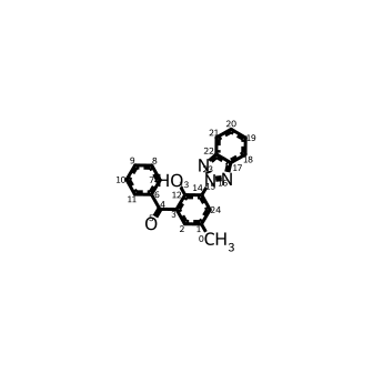 Cc1cc(C(=O)c2ccccc2)c(O)c(-n2nc3ccccc3n2)c1